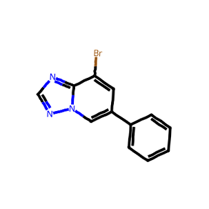 Brc1cc(-c2ccccc2)cn2ncnc12